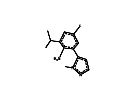 CC(C)c1cc(F)cc(-c2ccnn2C)c1N